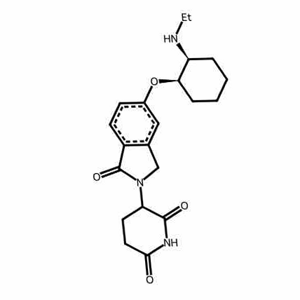 CCN[C@H]1CCCC[C@H]1Oc1ccc2c(c1)CN(C1CCC(=O)NC1=O)C2=O